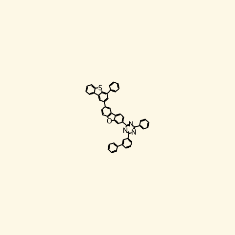 c1ccc(-c2cccc(-c3nc(-c4ccccc4)nc(-c4ccc5c(c4)oc4ccc(-c6cc(-c7ccccc7)c7sc8ccccc8c7c6)cc45)n3)c2)cc1